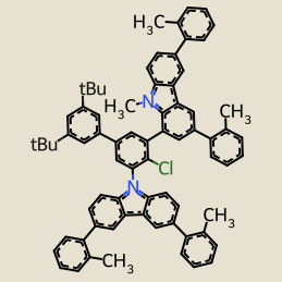 Cc1ccccc1-c1ccc2c(c1)c1cc(-c3ccccc3C)cc(-c3cc(-c4cc(C(C)(C)C)cc(C(C)(C)C)c4)cc(-n4c5ccc(-c6ccccc6C)cc5c5cc(-c6ccccc6C)ccc54)c3Cl)c1n2C